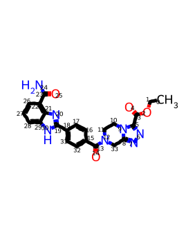 CCOC(=O)c1nnc2n1CCN(C(=O)c1ccc(-c3nc4c(C(N)=O)cccc4[nH]3)cc1)C2